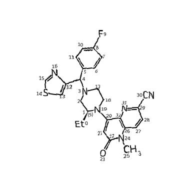 CC[C@H]1CN(C(c2ccc(F)cc2)c2cscn2)CCN1c1cc(=O)n(C)c2ccc(C#N)nc12